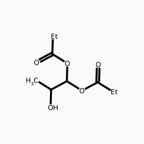 CCC(=O)OC(OC(=O)CC)C(C)O